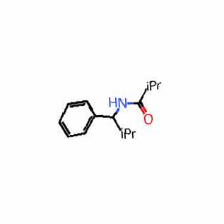 CC(C)C(=O)NC(c1ccccc1)C(C)C